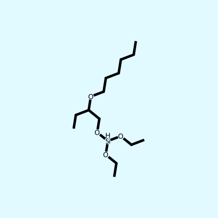 CCCCCCOC(CC)CO[SiH](OCC)OCC